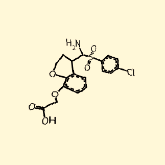 NC(C1CCOc2c(OCC(=O)O)cccc21)S(=O)(=O)c1ccc(Cl)cc1